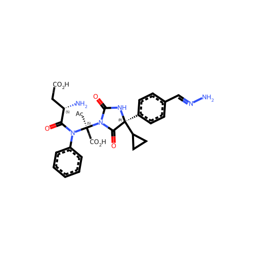 CC(=O)[C@@](C(=O)O)(N1C(=O)N[C@@](c2ccc(C=NN)cc2)(C2CC2)C1=O)N(C(=O)[C@@H](N)CC(=O)O)c1ccccc1